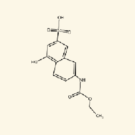 CCOC(=O)Nc1ccc2c(O)cc(S(=O)(=O)O)cc2c1